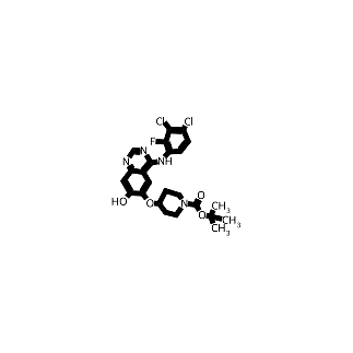 CC(C)(C)OC(=O)N1CCC(Oc2cc3c(Nc4ccc(Cl)c(Cl)c4F)ncnc3cc2O)CC1